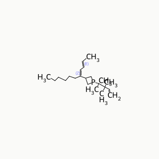 C=CC(C)(C)C(C)(C)P1CC(/C(=C\C=C\C)CCCCCC)C1